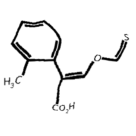 Cc1ccccc1/C(=C\OC=S)C(=O)O